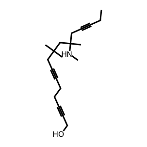 CCC#CCC(C)(CC(C)(C)CC#CCCC#CCO)NC